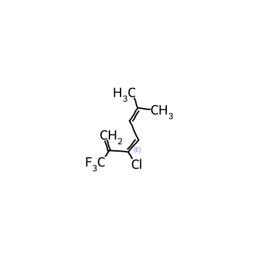 C=C(/C(Cl)=C\C=C(C)C)C(F)(F)F